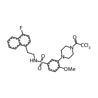 COc1ccc(S(=O)(=O)NCCc2ccc(F)c3ccccc23)cc1N1CCN(C(=O)C(Cl)(Cl)Cl)CC1